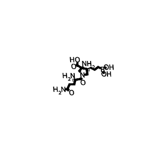 NC(=O)CC[C@H](N)C(=O)N1C[C@H](CCCB(O)O)[C@](N)(C(=O)O)C1